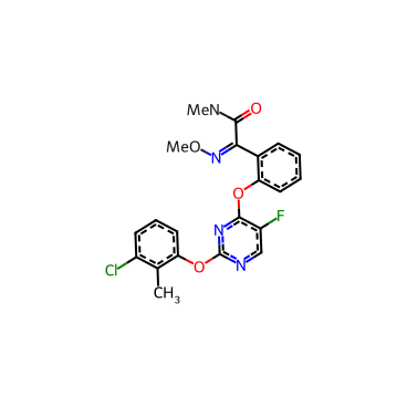 CNC(=O)C(=NOC)c1ccccc1Oc1nc(Oc2cccc(Cl)c2C)ncc1F